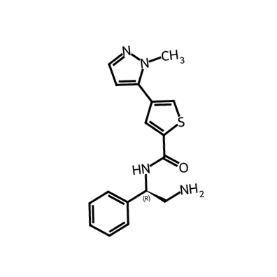 Cn1nccc1-c1csc(C(=O)N[C@@H](CN)c2ccccc2)c1